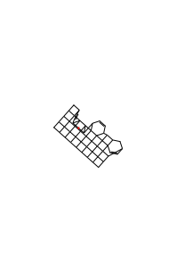 C1=CC23C4CC1C1C5CC6C7C8C9C%10C%11C%12CC%13C%14C%15CC%16C=CC%17C=CC%18C%19C=CC%20C4C24C%202C%19%20C%18%19C%17%18C%16%15C%14%15C%13%12C%11%12C%10%11C9%10C89C78C56C13C48C29C%20%10C%19%11C%15%18%12